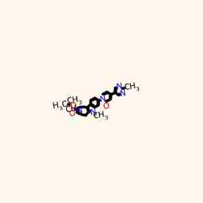 Cc1ncc(-c2ccn(-c3ccc4c5c(n(C)c4c3)CC3CCC5N3C(=O)OC(C)(C)C)c(=O)c2)cn1